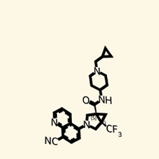 N#Cc1ccc(N2C[C@]3(C(=O)NC4CCN(CC5CC5)CC4)C[C@]3(C(F)(F)F)C2)c2cccnc12